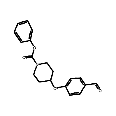 O=Cc1ccc(OC2CCN(C(=O)Oc3ccccc3)CC2)cc1